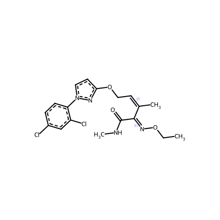 CCO/N=C(C(=O)NC)\C(C)=C/COc1ccn(-c2ccc(Cl)cc2Cl)n1